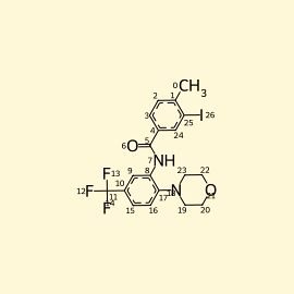 Cc1ccc(C(=O)Nc2cc(C(F)(F)F)ccc2N2CCOCC2)cc1I